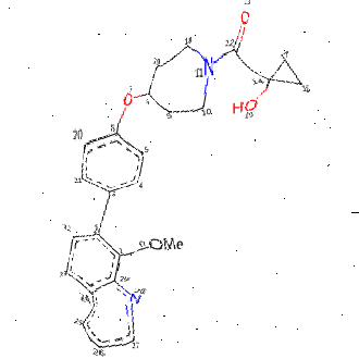 COc1c(-c2ccc(OC3CCN(C(=O)C4(O)CC4)CC3)cc2)ccc2cccnc12